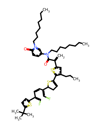 C=C(C(=O)N(CCCCCCCC)c1ccc(=O)n(CCCCCCCC)c1)c1cc(CCC)c(C2=CCC(C(/C=C\C(=C\F)c3ccc(C(C)(C)C)s3)=C\F)S2)s1